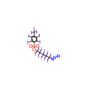 [N-]=[N+]=NC(I)(I)C(I)(I)C(I)(I)C(I)(I)C(I)(I)OS(=O)(=O)c1c(I)c(I)c(C(I)(I)I)c(I)c1I